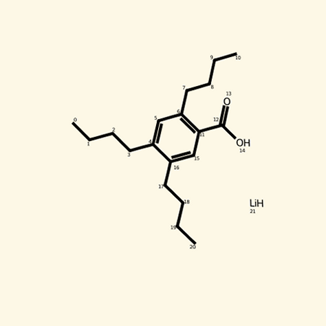 CCCCc1cc(CCCC)c(C(=O)O)cc1CCCC.[LiH]